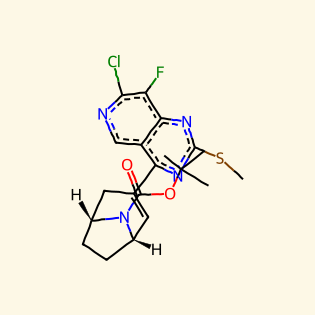 CSc1nc(C2=C[C@@H]3CC[C@H](C2)N3C(=O)OC(C)(C)C)c2cnc(Cl)c(F)c2n1